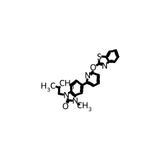 CC(C)Cn1c(=O)n(C)c2cc(-c3cccc(Oc4nc5ccccc5s4)n3)ccc21